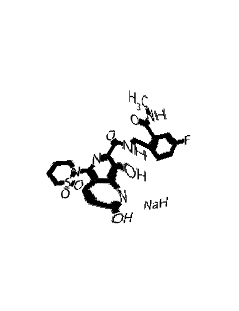 CNC(=O)c1cc(F)ccc1CNC(=O)c1nc(N2CCCCS2(=O)=O)c2ccc(O)nc2c1O.[NaH]